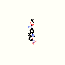 CN1c2ccc(NC(=O)OC(C)(C)C)cc2C(C)(C)C12C=CC=C([N+](=O)[O-])O2